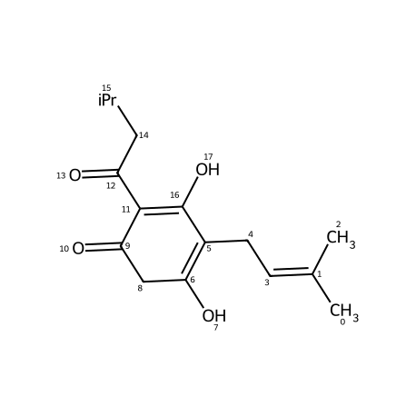 CC(C)=CCC1=C(O)CC(=O)C(C(=O)CC(C)C)=C1O